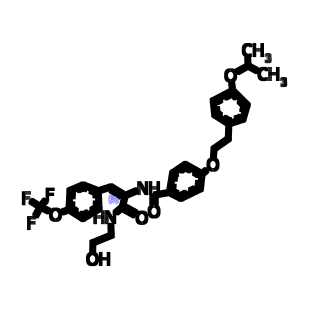 CC(C)Oc1ccc(CCOc2ccc(C(=O)N/C(=C/c3ccc(OC(F)(F)F)cc3)C(=O)NCCO)cc2)cc1